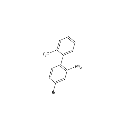 Nc1cc(Br)ccc1-c1ccccc1C(F)(F)F